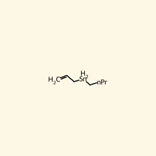 C=C[CH2][SnH2][CH2]CCC